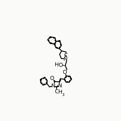 CC1=N/C(=C\c2ccccc2OC[C@@H](O)CN2CCC(c3ccc4ccccc4c3)CC2)C(=O)N1Cc1ccccc1